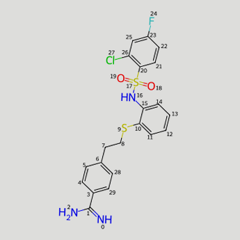 N=C(N)c1ccc(CCSc2ccccc2NS(=O)(=O)c2ccc(F)cc2Cl)cc1